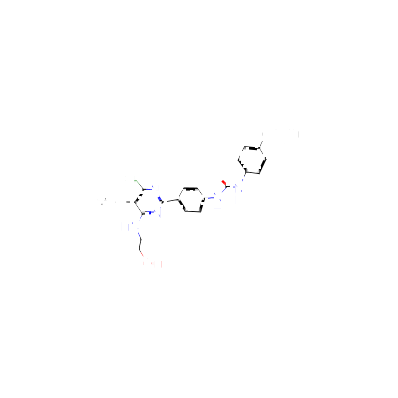 CCOC(=O)c1ccc(NC(=O)Nc2ccc(-c3nc(Cl)c(SC)c(NCCO)n3)cc2)cc1